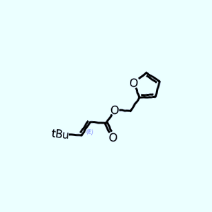 CC(C)(C)/C=C/C(=O)OCc1ccco1